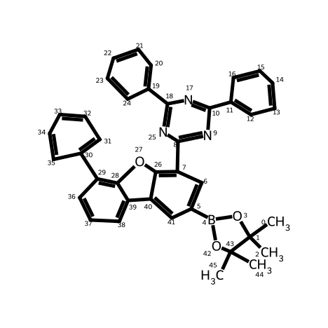 CC1(C)OB(c2cc(-c3nc(-c4ccccc4)nc(-c4ccccc4)n3)c3oc4c(-c5ccccc5)cccc4c3c2)OC1(C)C